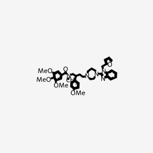 COc1ccc(C(CCN2CCCN(c3nc4ccccc4n3Cc3ccco3)CC2)CN(C)C(=O)c2cc(OC)c(OC)c(OC)c2)cc1